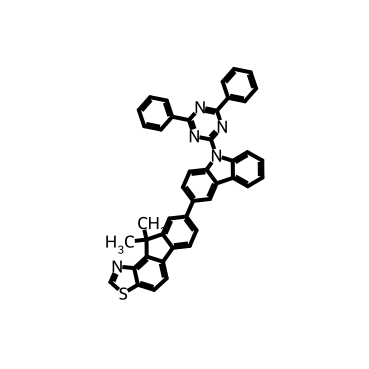 CC1(C)c2cc(-c3ccc4c(c3)c3ccccc3n4-c3nc(-c4ccccc4)nc(-c4ccccc4)n3)ccc2-c2ccc3scnc3c21